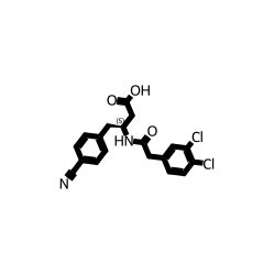 N#Cc1ccc(C[C@@H](CC(=O)O)NC(=O)Cc2ccc(Cl)c(Cl)c2)cc1